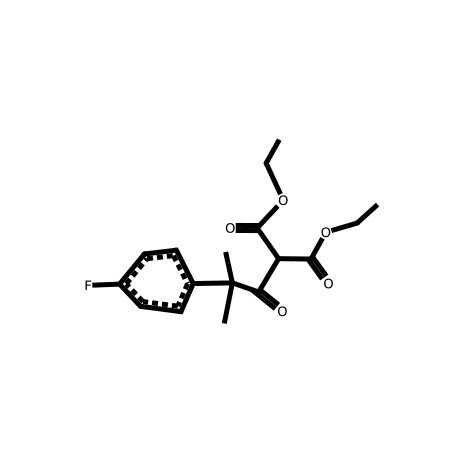 CCOC(=O)C(C(=O)OCC)C(=O)C(C)(C)c1ccc(F)cc1